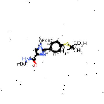 CCCCCn1cc(C(=O)NCCCC)nc1-c1ccc(SC(C)(C)C(=O)O)cc1